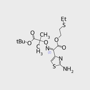 CCSCCOC(=O)/C(=N\OC(C)(C)C(=O)OC(C)(C)C)c1csc(N)n1